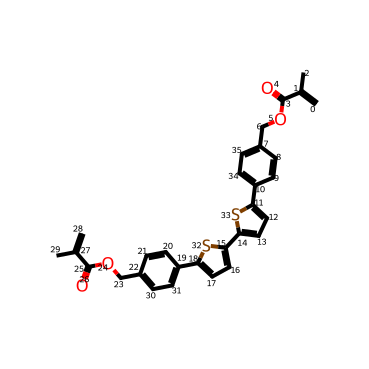 C=C(C)C(=O)OCc1ccc(-c2ccc(-c3ccc(-c4ccc(COC(=O)C(=C)C)cc4)s3)s2)cc1